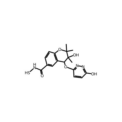 CC1(C)Oc2ccc(C(=O)NS)cc2C(Oc2ccc(O)nn2)C1(C)O